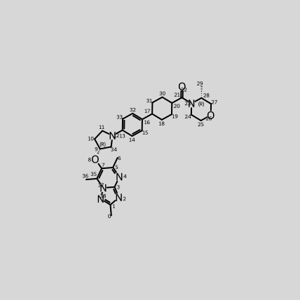 Cc1nc2nc(C)c(O[C@@H]3CCN(c4ccc(C5CCC(C(=O)N6CCOC[C@H]6C)CC5)cc4)C3)c(C)n2n1